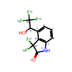 O=C1Nc2cccc(C(O)C(F)(F)F)c2C1(F)F